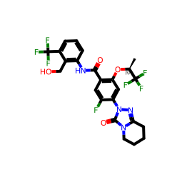 C[C@H](Oc1cc(-n2nc3n(c2=O)CCCC3)c(F)cc1C(=O)Nc1cccc(C(F)(F)F)c1CO)C(F)(F)F